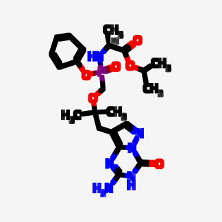 CC(C)OC(=O)[C@H](C)NP(=O)(COC(C)(C)Cc1cnn2c(=O)[nH]c(N)nc12)Oc1ccccc1